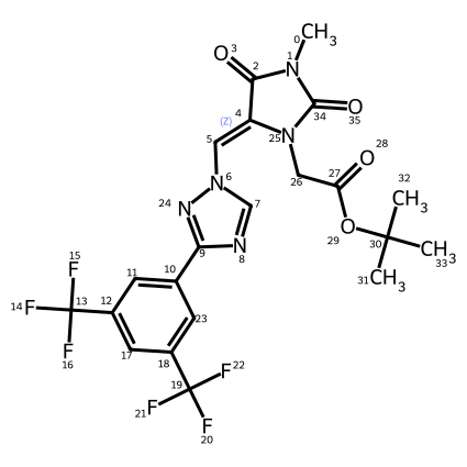 CN1C(=O)/C(=C/n2cnc(-c3cc(C(F)(F)F)cc(C(F)(F)F)c3)n2)N(CC(=O)OC(C)(C)C)C1=O